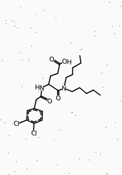 CCCCCN(CCCCC)C(=O)C(CCC(=O)O)NC(=O)Cc1ccc(Cl)c(Cl)c1